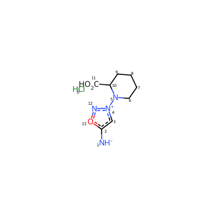 Cl.[NH-]c1c[n+](N2CCCCC2C(=O)O)no1